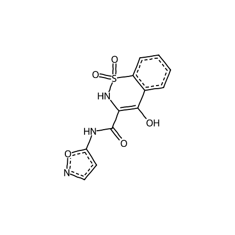 O=C(Nc1ccno1)C1=C(O)c2ccccc2S(=O)(=O)N1